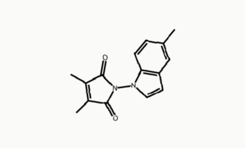 CC1=C(C)C(=O)N(n2ccc3cc(C)ccc32)C1=O